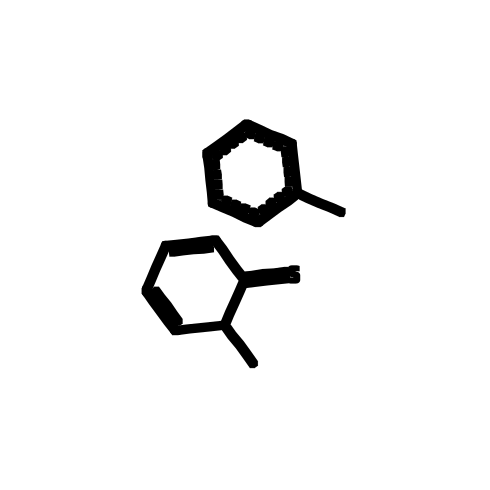 CC1C=CC=CC1=S.Cc1ccccc1